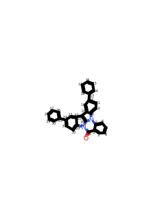 O=c1c2ccccc2n2c3ccc(-c4ccccc4)cc3c3c4cc(-c5ccccc5)ccc4n1c32